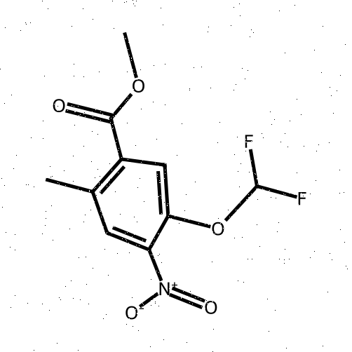 COC(=O)c1cc(OC(F)F)c([N+](=O)[O-])cc1C